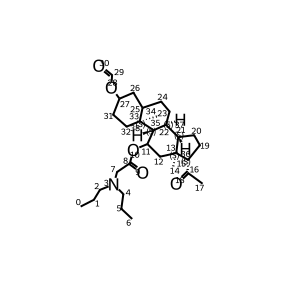 CCCN(CCC)CC(=O)OC1C[C@]2(C)[C@@H](C(C)=O)CC[C@H]2[C@@H]2CCC3CC(OC=O)CC[C@]3(C)[C@@H]12